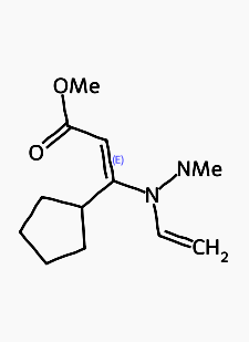 C=CN(NC)/C(=C/C(=O)OC)C1CCCC1